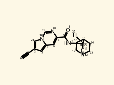 C#Cc1cc2cc(C(=O)N[C@H]3CN4CCC3CC4)ncn2c1